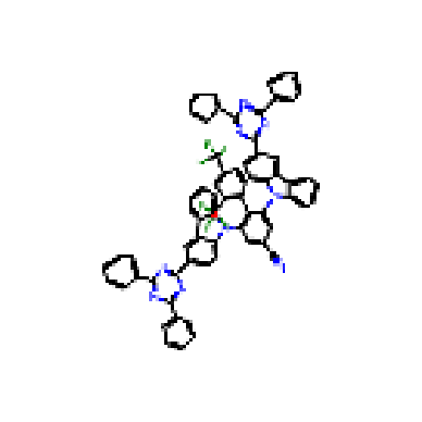 N#Cc1cc(-n2c3ccccc3c3cc(-c4nc(-c5ccccc5)nc(-c5ccccc5)n4)ccc32)c(-c2ccc(C(F)(F)F)cc2C(F)(F)F)c(-n2c3ccccc3c3cc(-c4nc(-c5ccccc5)nc(-c5ccccc5)n4)ccc32)c1